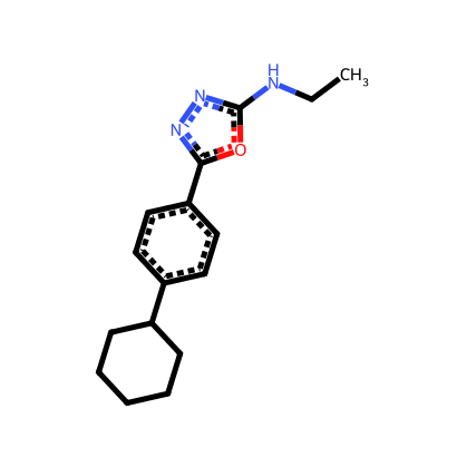 CCNc1nnc(-c2ccc(C3CCCCC3)cc2)o1